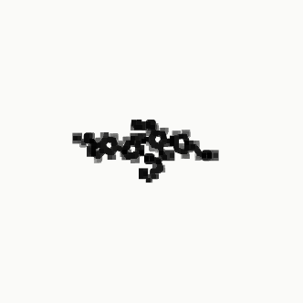 C=CC(=O)Nc1cc(Nc2cc(-c3ccc4c(cnn4C)c3)ncn2)c(OC)cc1N1CCN(CCO)CC1